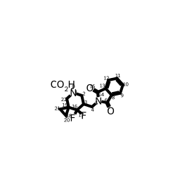 O=C(O)N1CC(CN2C(=O)c3ccccc3C2=O)C(F)(F)C2(CC2)C1